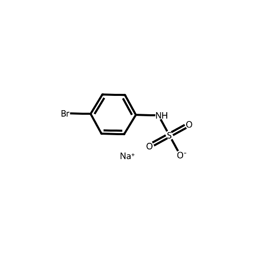 O=S(=O)([O-])Nc1ccc(Br)cc1.[Na+]